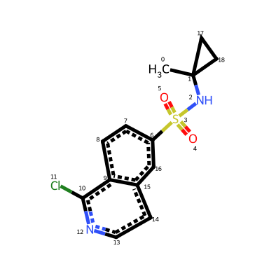 CC1(NS(=O)(=O)c2ccc3c(Cl)nccc3c2)CC1